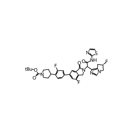 CC(C)(C)OC(=O)N1CCC(c2ccc(-c3cc(F)c4c(c3)C(=O)N(C(C(=O)Nc3nccs3)c3ncn5c3C[C@@H](F)C5)C4)cc2F)CC1